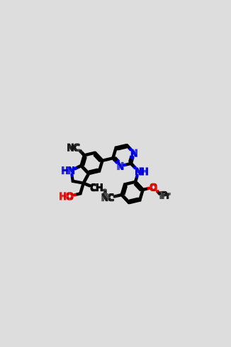 CC(C)Oc1ccc(C#N)cc1Nc1nccc(-c2cc(C#N)c3c(c2)C(C)(CO)CN3)n1